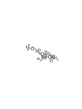 CO[C@@H]1CN(CC(=O)OCc2ccc(C(F)(F)F)cc2)CC[C@@H]1NC(=O)c1cc(Cl)c(N)[nH]c1=O